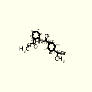 COC(=O)c1ccccc1NC(=O)c1ccc(C(C)Br)cc1